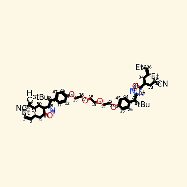 CC/C=C\CCC1ON=C(C(c2ccc(OCCOCCOCCOc3ccc(C(c4noc(C(C/C=C\CC)CC(C#N)CC)n4)C(C)(C)C)cc3)cc2)C(C)(C)C)C1CCC(C)C#N